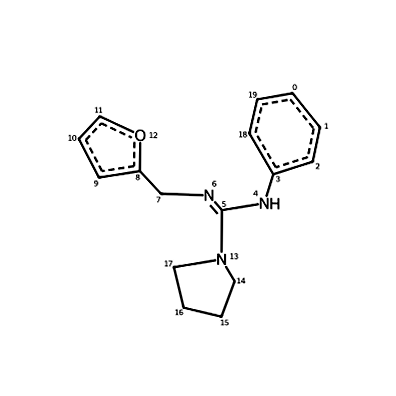 c1ccc(NC(=NCc2ccco2)N2CCCC2)cc1